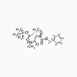 CNC(=O)[C@H](CC(=O)OC(C)(C)C)N(OC)C(=O)OCc1ccccc1